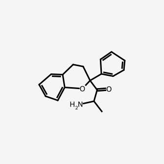 CC(N)C(=O)C1(c2ccccc2)CCc2ccccc2O1